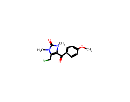 COc1ccc(C(=O)c2c(CBr)n(C)c(=O)n2C)cc1